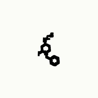 S=C=NC1CCN(Cc2ccccc2)C(I)C1